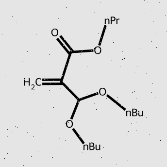 C=C(C(=O)OCCC)C(OCCCC)OCCCC